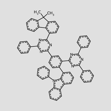 CC1(C)c2ccccc2-c2c(-c3nc(-c4ccccc4)nc(-c4ccc(-c5cccc6c7ccccc7n(-c7ccccc7)c56)c(-c5nc(-c6ccccc6)nc(-c6ccccc6)n5)c4)n3)cccc21